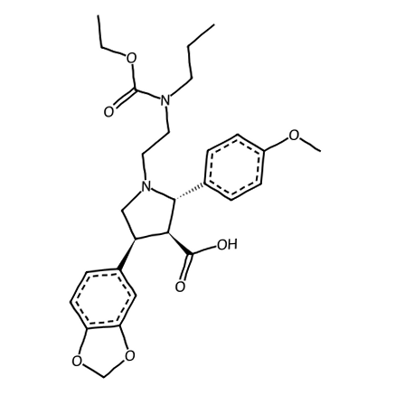 CCCN(CCN1C[C@H](c2ccc3c(c2)OCO3)[C@H](C(=O)O)[C@H]1c1ccc(OC)cc1)C(=O)OCC